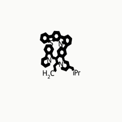 C=CCC1C(C2c3ccccc3-c3cccc[n+]32)c2cc3c(cc2-c2cc(CC(C)C)cc[n+]21)c1cccc2c4ccc5c6ccccc6sc5c4n3c12